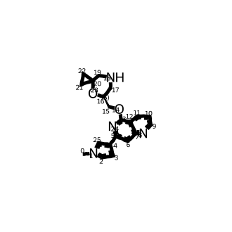 Cn1ccc(-c2cc3ncccc3c(OC[C@@H]3CNCC4(CC4)O3)n2)c1